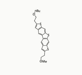 CCCCOCCc1cc2cc3c(cc2s1)sc1cc2sc(CCOC)cc2cc13